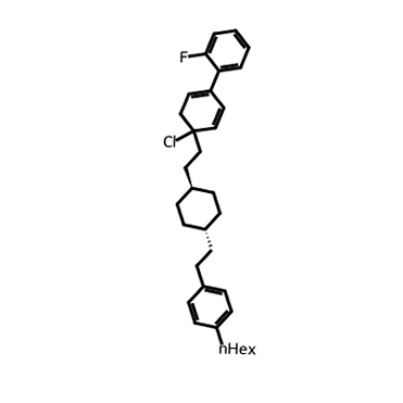 CCCCCCc1ccc(CC[C@H]2CC[C@H](CCC3(Cl)C=CC(c4ccccc4F)=CC3)CC2)cc1